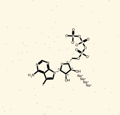 Nc1ncnc2c1c(I)cn2[C@@H]1O[C@H](COP(=O)([O-])OP(=O)([O-])OP(=O)([O-])[O-])[C@@H](O)[C@H]1O.[Na+].[Na+].[Na+].[Na+]